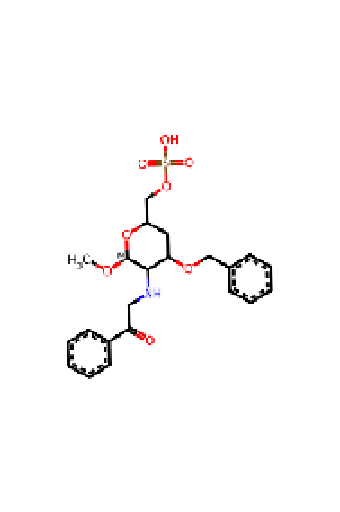 CO[C@H]1OC(COS(=O)(=O)O)CC(OCc2ccccc2)C1NCC(=O)c1ccccc1